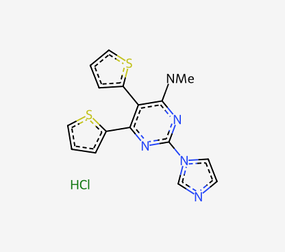 CNc1nc(-n2ccnc2)nc(-c2cccs2)c1-c1cccs1.Cl